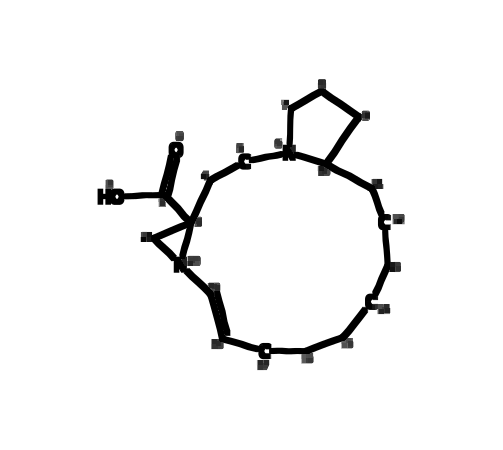 O=C(O)C12CCN3CCCC3CCCCCCC/C=C/N1C2